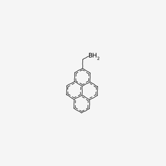 BCc1cc2ccc3cccc4ccc(c1)c2c34